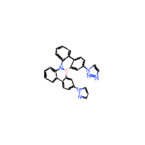 c1ccc2c(c1)-c1ccc(-n3cccn3)cc1B1c3cc(-n4ccnn4)ccc3-c3ccccc3N12